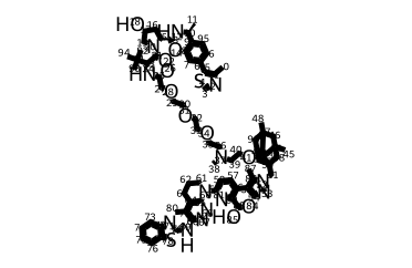 Cc1ncsc1-c1ccc([C@H](C)NC(=O)[C@@H]2C[C@@H](O)CN2C(=O)[C@@H](NC(=O)COCCOCCOCCN(C)CCOC23CC4(C)CC(C)(CC(Cn5ncc(-c6ccc(N7CCCc8c7nnc(Nc7nc9ccccc9s7)c8C)nc6C(=O)O)c5C)(C4)C2)C3)C(C)(C)C)cc1